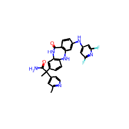 Cc1cc(C(C)(C(N)=O)c2ccc3c(c2)NC(=O)c2ccc(Nc4cc(F)nc(F)c4)cc2N3)ccn1